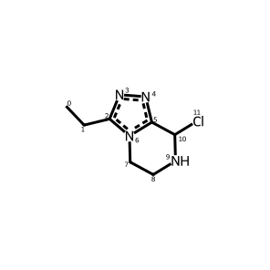 CCc1nnc2n1CCNC2Cl